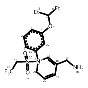 CCC(CC)Oc1cccc([N+]2(S(=O)(=O)CC(F)(F)F)C=C(CN)C=CC2)c1